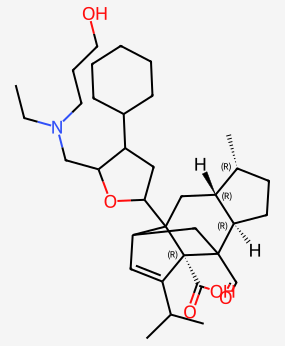 CCN(CCCO)CC1OC(C23C[C@@H]4[C@H](C)CC[C@H]4C4(C=O)CC2C=C(C(C)C)[C@@]34C(=O)O)CC1C1CCCCC1